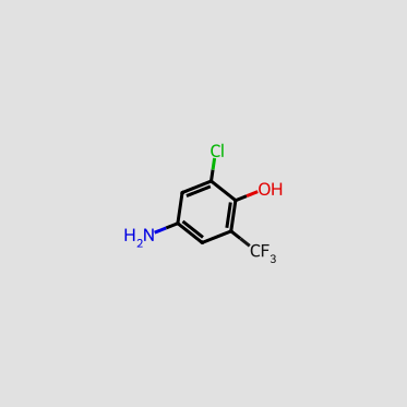 Nc1cc(Cl)c(O)c(C(F)(F)F)c1